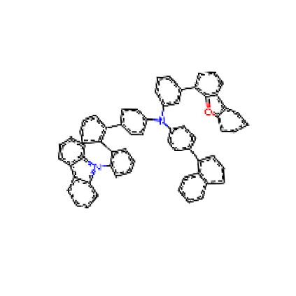 c1cc(-c2cccc3c2oc2ccccc23)cc(N(c2ccc(-c3ccccc3-c3ccccc3-n3c4ccccc4c4ccccc43)cc2)c2ccc(-c3cccc4ccccc34)cc2)c1